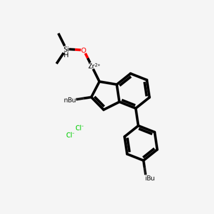 CCCCC1=Cc2c(-c3ccc(C(C)CC)cc3)cccc2[CH]1[Zr+2][O][SiH](C)C.[Cl-].[Cl-]